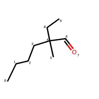 CCCCC(C)([C]=O)CC